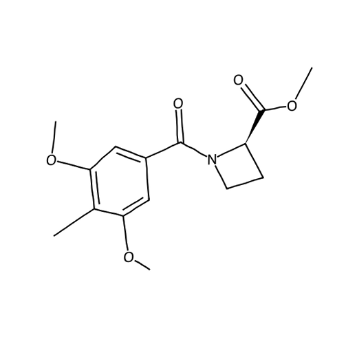 COC(=O)[C@H]1CCN1C(=O)c1cc(OC)c(C)c(OC)c1